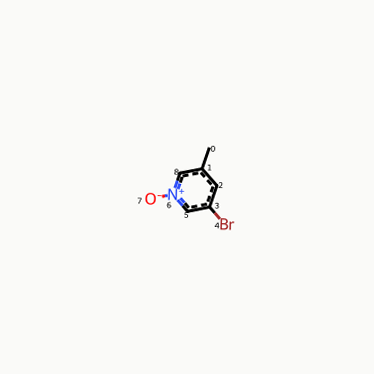 Cc1cc(Br)c[n+]([O-])c1